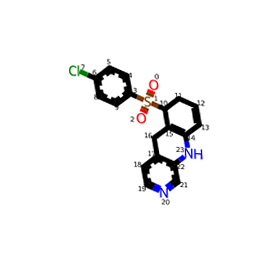 O=S(=O)(c1ccc(Cl)cc1)C1CC=CC2=C1Cc1ccncc1N2